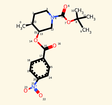 C[C@H]1CCN(C(=O)OC(C)(C)C)C[C@H]1OC(=O)c1ccc([N+](=O)[O-])cc1